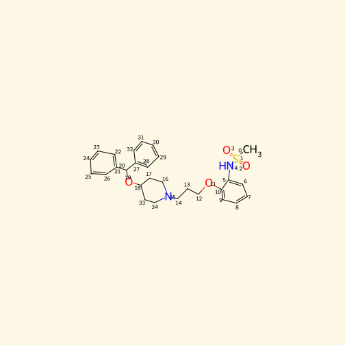 CS(=O)(=O)Nc1ccccc1OCCCN1CCC(OC(c2ccccc2)c2ccccc2)CC1